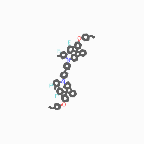 C=Cc1ccc(Oc2ccc(C3(c4cccc(F)c4)c4ccccc4-c4ccc(N(c5ccc(-c6ccc(N(c7ccc(F)c(C)c7)c7ccc8c(c7)C(c7ccc(Oc9ccc(C=C)cc9)cc7)(c7cccc(F)c7)c7ccccc7-8)cc6)cc5)c5ccc(F)c(C)c5)cc43)cc2)cc1